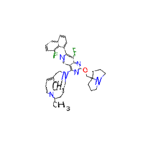 C\C1=C/C=C\N=C(/C)CCCN(c2nc(OCC34CCCN3CCC4)nc3c(F)c(-c4cccc5cccc(F)c45)ncc23)C1